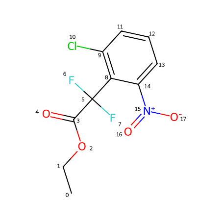 CCOC(=O)C(F)(F)c1c(Cl)cccc1[N+](=O)[O-]